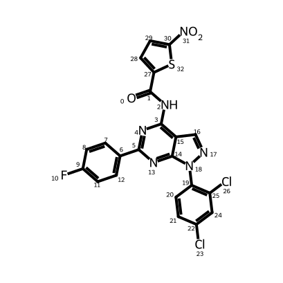 O=C(Nc1nc(-c2ccc(F)cc2)nc2c1cnn2-c1ccc(Cl)cc1Cl)c1ccc([N+](=O)[O-])s1